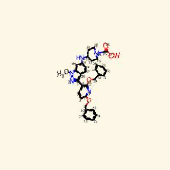 Cn1nc(-c2ccc(OCc3ccccc3)nc2OCc2ccccc2)c2ccc(NC3CCN(C(=O)O)CC3)cc21